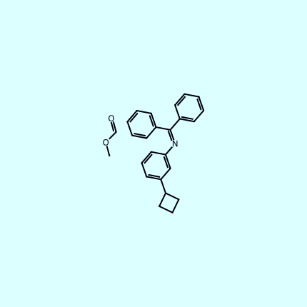 COC=O.c1ccc(C(=Nc2cccc(C3CCC3)c2)c2ccccc2)cc1